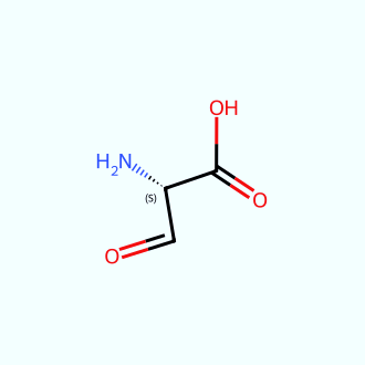 N[C@@H](C=O)C(=O)O